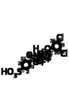 O=S(=O)(O)c1ccc(S(=O)(=O)NS(=O)(=O)C(F)(F)C(F)(F)Oc2cc(Cl)cc(Cl)c2)cc1